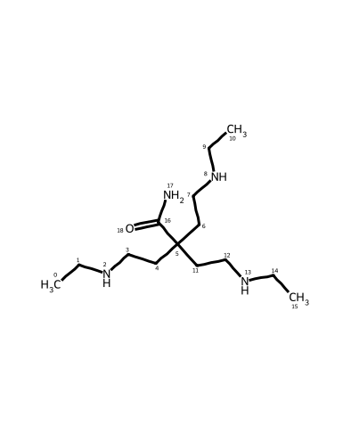 CCNCCC(CCNCC)(CCNCC)C(N)=O